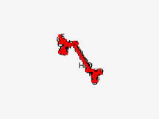 C=C(F)C(=O)N1CCN(c2nc(OC[C@@H]3CCCN3CCOCCOCCOCCOCCNC(=O)c3cccc(-c4ccc5c(N6CCOC[C@H]6C)nc(N6CCOC[C@H]6C)nc5n4)c3)nc3c2CCN(c2cccc4cccc(Cl)c24)C3)C[C@@H]1CC#N